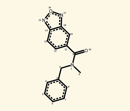 CN(Cc1ccccc1)C(=O)c1ccc2nonc2c1